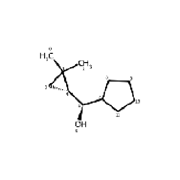 CC1(C)C[C@H]1[C@H](O)C1CCCC1